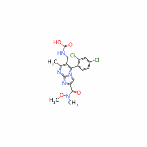 CON(C)C(=O)c1cn2c(-c3ccc(Cl)cc3Cl)c(CNC(=O)O)c(C)nc2n1